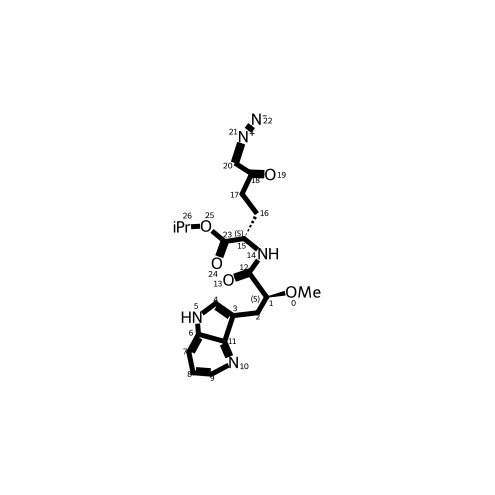 CO[C@@H](Cc1c[nH]c2cccnc12)C(=O)N[C@@H](CCC(=O)C=[N+]=[N-])C(=O)OC(C)C